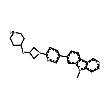 Cn1c2ccncc2c2ccc(-c3ccc(N4CC(OC5CCNCC5)C4)nc3)cc21